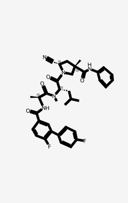 CC(C)C[C@@H](C(=O)N1C[C@@](C)(C(=O)Nc2ccccc2)C[C@H]1C#N)N(C)C(=O)[C@H](C)NC(=O)c1ccc(F)c(-c2ccc(F)cc2)c1